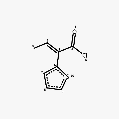 C/C=C(/C(=O)Cl)c1cccs1